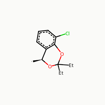 [CH2][C@@H]1OC(CC)(CC)Oc2c(Cl)cccc21